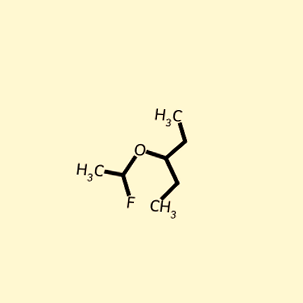 CCC(CC)OC(C)F